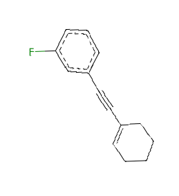 Fc1cccc(C#CC2=CCCCC2)c1